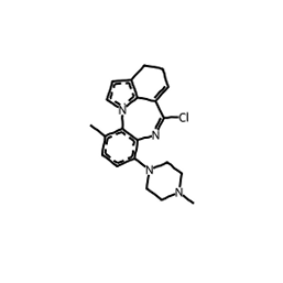 Cc1ccc(N2CCN(C)CC2)c2c1-n1ccc3c1C(=CCC3)C(Cl)=N2